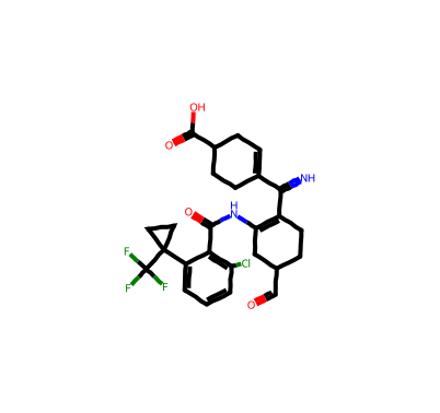 N=C(C1=CCC(C(=O)O)CC1)C1=C(NC(=O)c2c(Cl)cccc2C2(C(F)(F)F)CC2)CC(C=O)CC1